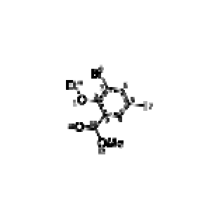 CCOc1c(Br)cc(I)cc1C(=O)OC